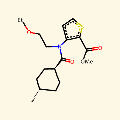 CCOCCN(c1ccsc1C(=O)OC)C(=O)[C@H]1CC[C@H](C)CC1